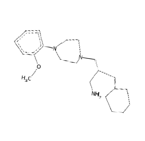 COc1ccccc1N1CCN(C[C@@H](CN)CC2CCCCC2)CC1